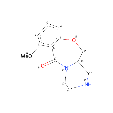 COc1cccc2c1C(=O)N1CCNCC1CO2